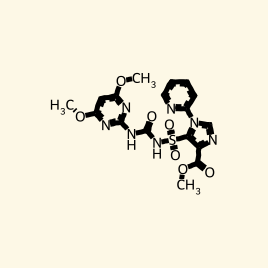 COC(=O)c1ncn(-c2ccccn2)c1S(=O)(=O)NC(=O)Nc1nc(OC)cc(OC)n1